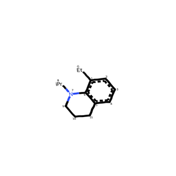 CCc1cccc2c1N(C(C)C)CCC2